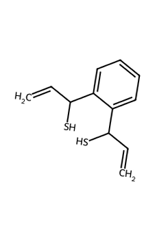 C=CC(S)c1ccccc1C(S)C=C